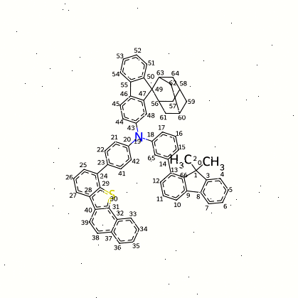 CC1(C)c2ccccc2-c2cccc(-c3cccc(N(c4ccc(-c5cccc6c5sc5c7ccccc7ccc65)cc4)c4ccc5c(c4)C4(c6ccccc6-5)C5CC6CC(C5)CC4C6)c3)c21